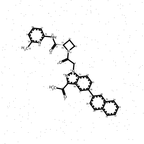 CC(=O)c1nn(CC(=O)N2CC[C@H]2C(=O)Nc2cccc(C)n2)c2ccc(-c3ccc4ccccc4c3)cc12